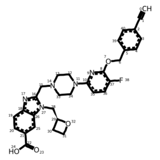 C#Cc1ccc(COc2nc(N3CCN(Cc4nc5ccc(C(=O)O)cc5n4C[C@@H]4CCO4)CC3)ccc2F)cc1